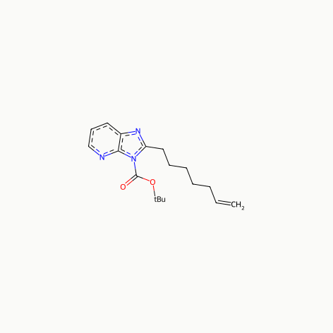 C=CCCCCCc1nc2cccnc2n1C(=O)OC(C)(C)C